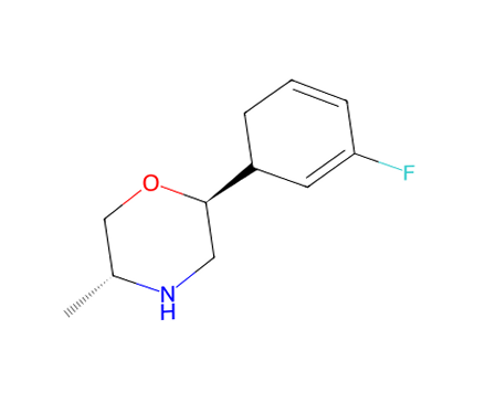 C[C@@H]1CO[C@@H](C2C=C(F)C=CC2)CN1